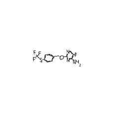 Nc1nc(OCc2ccc(SC(F)(F)F)cc2)ncc1F